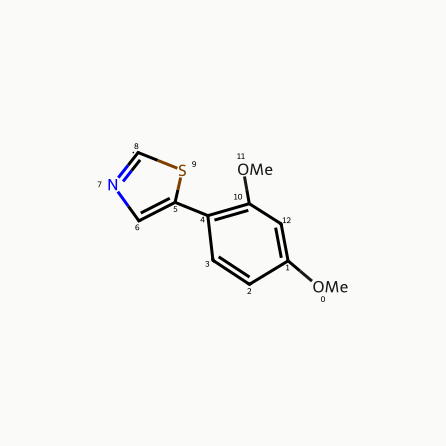 COc1ccc(-c2cn[c]s2)c(OC)c1